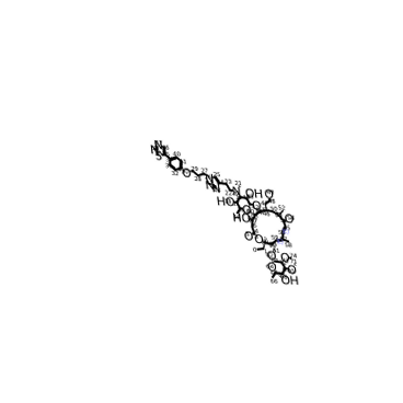 CC[C@H]1OC(=O)C[C@@H](O)[C@H](C)[C@@H](OC2OC(C)C(O)C(N(C)CCc3cn(CCCOc4ccc(-c5cnns5)cc4)nn3)C2O)[C@@H](CC=O)C[C@@H](C)C(=O)/C=C/C(C)=C/[C@@H]1COC1OC(C)C(O)C(OC)C1OC